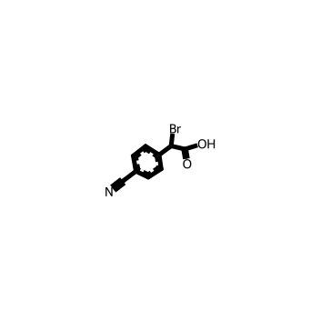 N#Cc1ccc(C(Br)C(=O)O)cc1